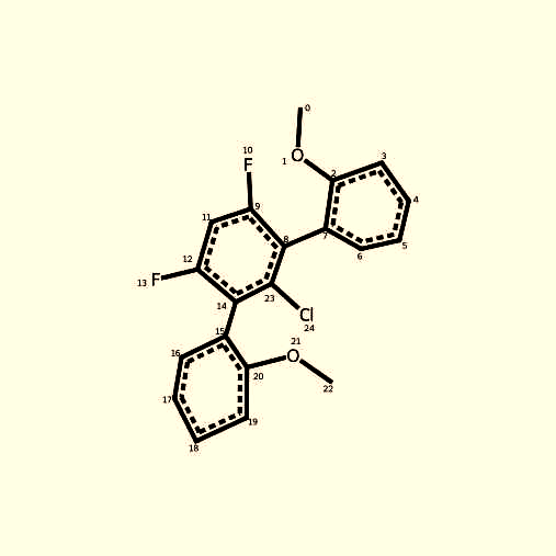 COc1ccccc1-c1c(F)cc(F)c(-c2ccccc2OC)c1Cl